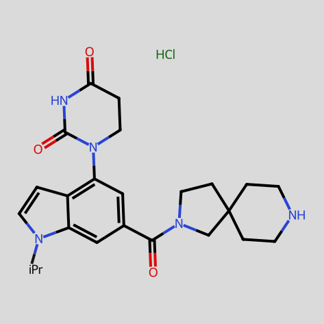 CC(C)n1ccc2c(N3CCC(=O)NC3=O)cc(C(=O)N3CCC4(CCNCC4)C3)cc21.Cl